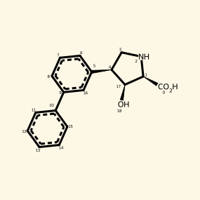 O=C(O)[C@@H]1NC[C@H](c2cccc(-c3ccccc3)c2)[C@@H]1O